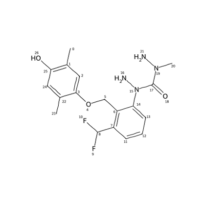 Cc1cc(OCc2c(C(F)F)cccc2N(N)C(=O)N(C)N)c(C)cc1O